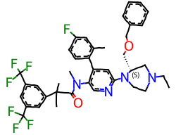 CCN1CCN(c2cc(-c3ccc(F)cc3C)c(N(C)C(=O)C(C)(C)c3cc(C(F)(F)F)cc(C(F)(F)F)c3)cn2)[C@H](COCc2ccccc2)C1